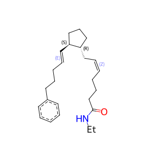 CCNC(=O)CCC/C=C\C[C@H]1CCC[C@@H]1/C=C/CCCc1ccccc1